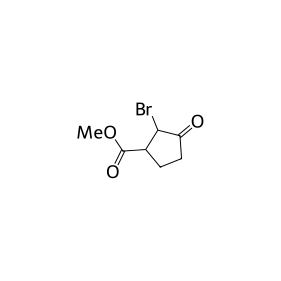 COC(=O)C1CCC(=O)C1Br